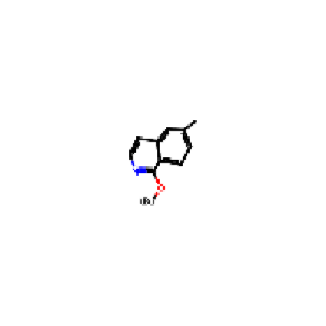 Cc1ccc2c(OC(C)(C)C)nccc2c1